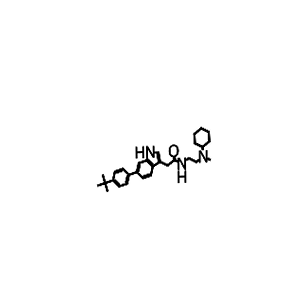 CN(CCNC(=O)Cc1c[nH]c2cc(-c3ccc(C(C)(C)C)cc3)ccc12)C1CCCCC1